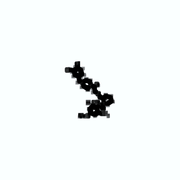 COc1cc(C)c(S(=O)(=O)N2CCCCC2COCC(=O)N2CCN(Cc3ccc(Cl)c(Cl)c3)CC2)c(C)c1